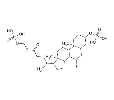 CC(CCC(=O)OCOP(=O)(O)O)C1CCC2C3C(F)CC4CC(OP(=O)(O)O)CCC4(C)C3CCC12C